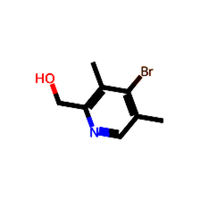 Cc1cnc(CO)c(C)c1Br